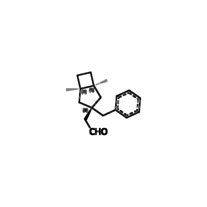 C[C@@]12CC[C@]1(C)C[C@@](CC=O)(Cc1ccccc1)C2